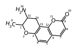 CC1Oc2ccc3ccc(=O)oc3c2CC1N